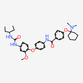 CCC(CC)NC(=O)Nc1ccc(Oc2ccc(NC(=O)c3ccc(OC4(N(C)C)CCCCC4)cc3)cc2)c(OC)c1